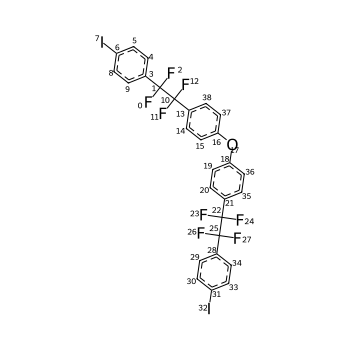 FC(F)(c1ccc(I)cc1)C(F)(F)c1ccc(Oc2ccc(C(F)(F)C(F)(F)c3ccc(I)cc3)cc2)cc1